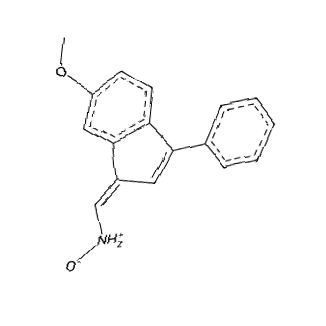 COc1ccc2c(c1)C(=C[NH2+][O-])C=C2c1ccccc1